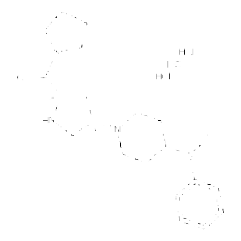 CN(c1ccccc1)C1CCN([C@@H]2CN[C@H](C(=O)N3CCSC3)C2)CC1.Cl.Cl.Cl